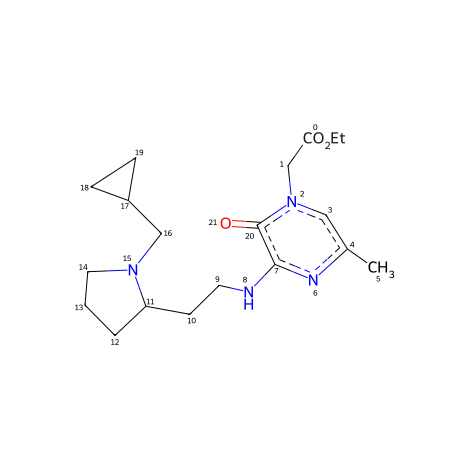 CCOC(=O)Cn1cc(C)nc(NCCC2CCCN2CC2CC2)c1=O